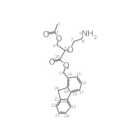 CC(=O)OCC(OCCN)C(=O)OCc1cccc2c1Cc1ccccc1-2